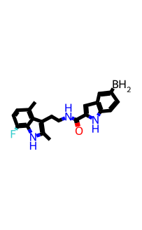 Bc1ccc2[nH]c(C(=O)NCCc3c(C)[nH]c4c(F)ccc(C)c34)cc2c1